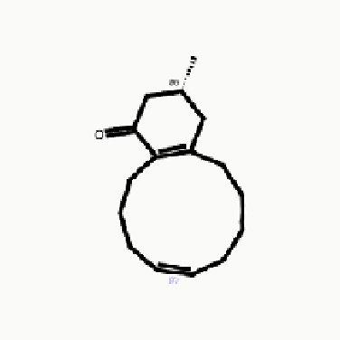 C[C@H]1CC(=O)C2=C(CCCC/C=C\CCC2)C1